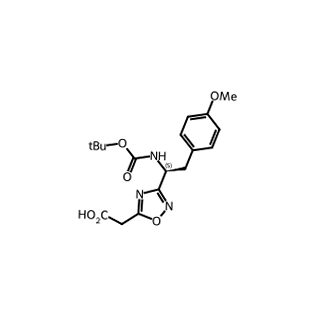 COc1ccc(C[C@H](NC(=O)OC(C)(C)C)c2noc(CC(=O)O)n2)cc1